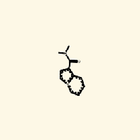 CN(C)C(=O)c1ccn2ccccc12